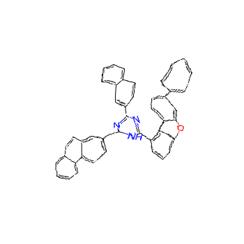 c1ccc(-c2ccc3c(c2)oc2cccc(C4=NC(c5ccc6ccccc6c5)=NC(c5ccc6c(ccc7ccccc76)c5)N4)c23)cc1